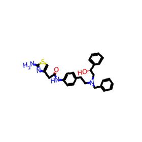 Nc1nc(CC(=O)Nc2ccc(CCN(Cc3ccccc3)C[C@H](O)c3ccccc3)cc2)cs1